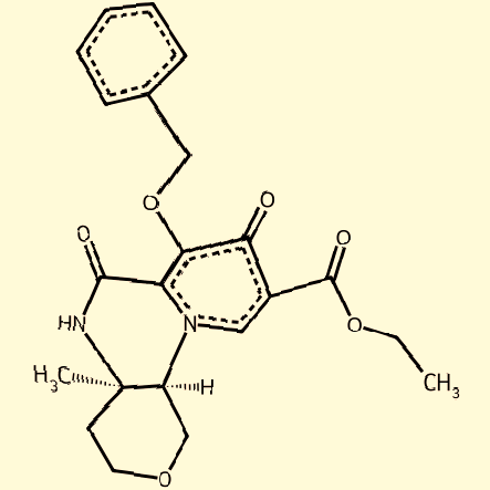 CCOC(=O)c1cn2c(c(OCc3ccccc3)c1=O)C(=O)N[C@]1(C)CCOC[C@H]21